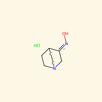 Cl.O/N=C1/CN2CCC1CC2